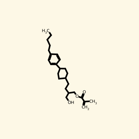 C=C(C)C(=O)OCC(CO)CCC1CCC(c2ccc(CCCCC)cc2)CC1